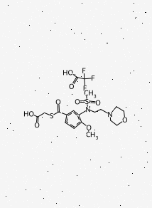 COc1ccc(C(=O)SCC(=O)O)cc1N(CCN1CCOCC1)S(C)(=O)=O.O=C(O)C(F)(F)F